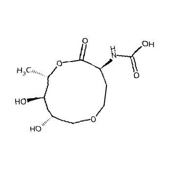 C[C@@H]1OC(=O)[C@@H](NC(=O)O)CCOC[C@H](O)[C@H]1O